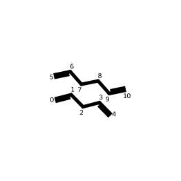 C=CCC=C.C=CCCC=C